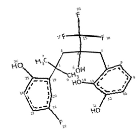 CC(C)(CC(O)(Cc1cccc(O)c1O)C(F)(F)F)c1cc(F)ccc1O